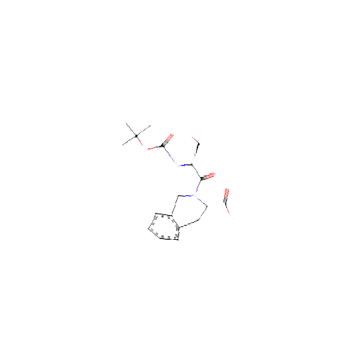 CC(C)(C)OC(=O)N[C@@H](CO)C(=O)N1Cc2ccccc2C[C@H]1C(=O)O